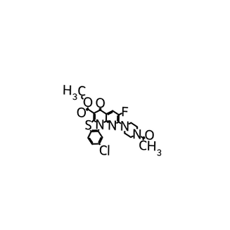 CCOC(=O)c1c(=O)c2cc(F)c(N3CCN(C(C)=O)CC3)nc2n2c1sc1ccc(Cl)cc12